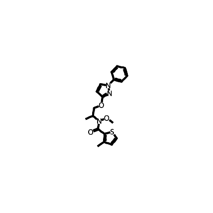 CON(C(=O)c1sccc1C)C(C)COc1ccn(-c2ccccc2)n1